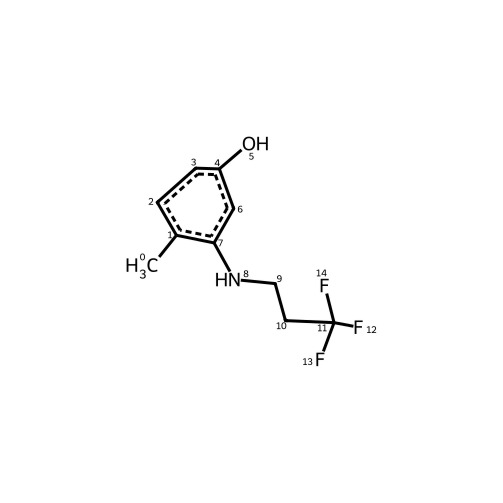 Cc1ccc(O)cc1NCCC(F)(F)F